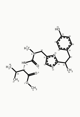 COC(=O)[C@@H](NC(=O)N(C)Cc1csc(C(C)Cc2ccc(O)cc2)n1)C(C)C